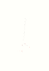 CC(C)CCCCCCCCCCCCCCCO[C@@H]([C@H](O)[C@H](O)CO)[C@@H](O)COCC(O)CO